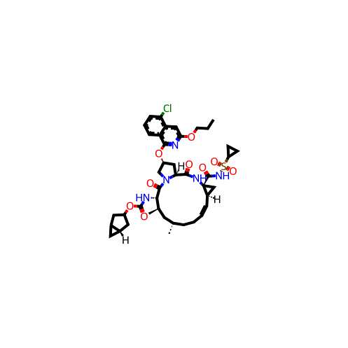 CCCOc1cc2c(Cl)cccc2c(O[C@@H]2C[C@H]3C(=O)N[C@]4(C(=O)NS(=O)(=O)C5CC5)C[C@H]4/C=C\CC[C@H](C)C[C@@H](C)[C@H](NC(=O)OC4CC5C[C@H]5C4)C(=O)N3C2)n1